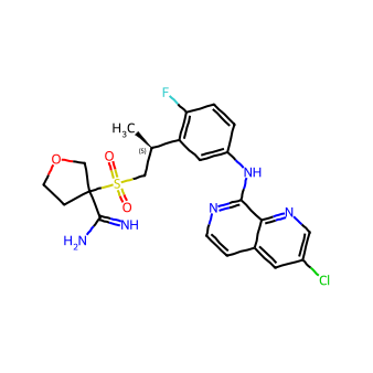 C[C@H](CS(=O)(=O)C1(C(=N)N)CCOC1)c1cc(Nc2nccc3cc(Cl)cnc23)ccc1F